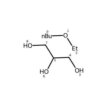 CCCCOCC.OCC(O)CO